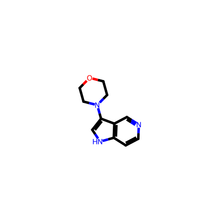 c1cc2[nH]cc(N3CCOCC3)c2cn1